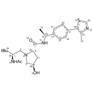 CC(=O)N[C@H](CN1C[C@H](O)C[C@H]1C(=O)N[C@@H](C)c1ccc(-c2scnc2C)cc1)C(C)(C)C